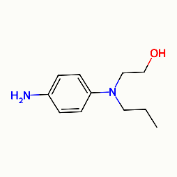 CCCN(CCO)c1ccc(N)cc1